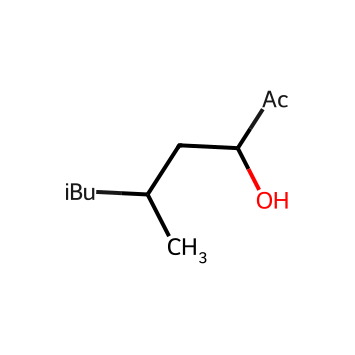 CCC(C)C(C)CC(O)C(C)=O